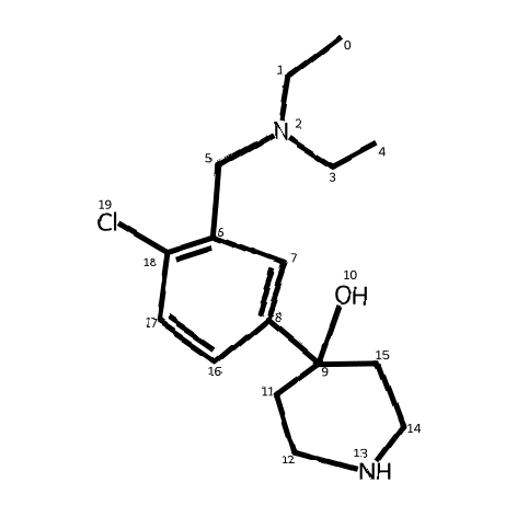 CCN(CC)Cc1cc(C2(O)CCNCC2)ccc1Cl